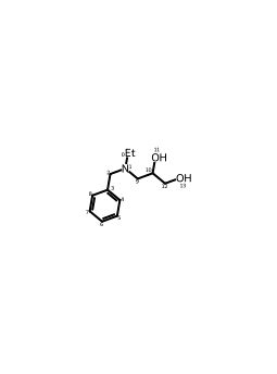 CCN(Cc1ccccc1)CC(O)CO